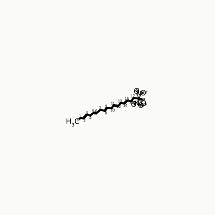 CCC=CCC=CCC=CCC=CCC=CCCC([C]=O)([N+](=O)[O-])[N+](=O)[O-]